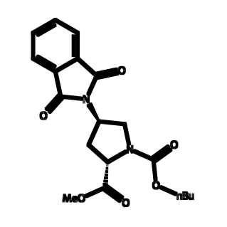 CCCCOC(=O)N1C[C@H](N2C(=O)c3ccccc3C2=O)C[C@H]1C(=O)OC